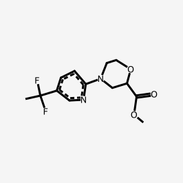 COC(=O)C1CN(c2ccc(C(C)(F)F)cn2)CCO1